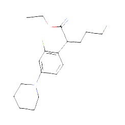 CCOC(=N)C(CCCCl)c1ccc(N2CCCCC2)cc1F